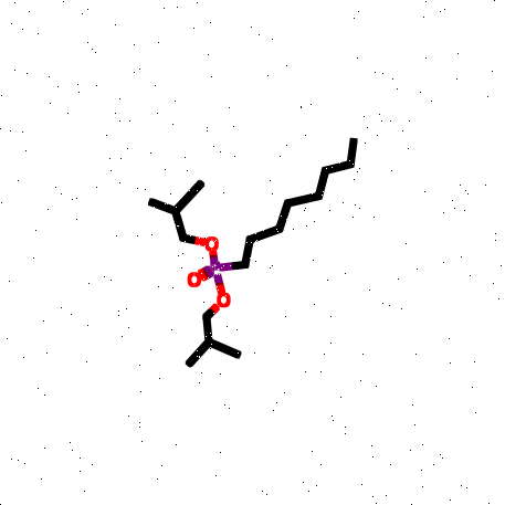 CCCCCCCCP(=O)(OCC(C)C)OCC(C)C